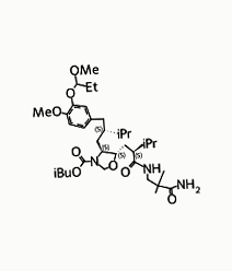 CCC(OC)Oc1cc(C[C@@H](C[C@H]2[C@H](C[C@H](C(=O)NCC(C)(C)C(N)=O)C(C)C)OCN2C(=O)OCC(C)C)C(C)C)ccc1OC